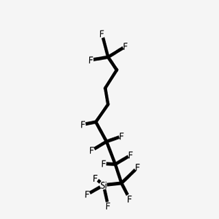 FC(CCCC(F)(F)F)C(F)(F)C(F)(F)C(F)(F)[Si](F)(F)F